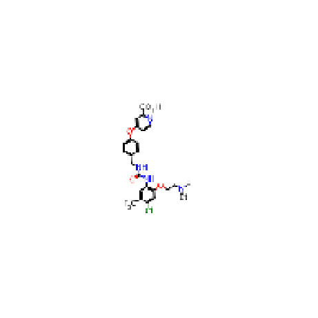 CCN(CC)CCOc1cc(Cl)c(C(F)(F)F)cc1NC(=O)NCc1ccc(Oc2ccnc(C(=O)O)c2)cc1